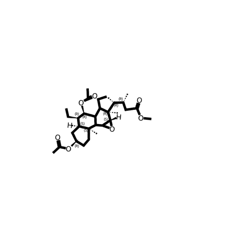 CC[C@H]1[C@@H](OC(C)=O)C2C3CC[C@H]([C@H](C)CC(=O)OC)[C@@]3(C)[C@@H]3OC3C2[C@@]2(C)CC[C@@H](OC(C)=O)C[C@@H]12